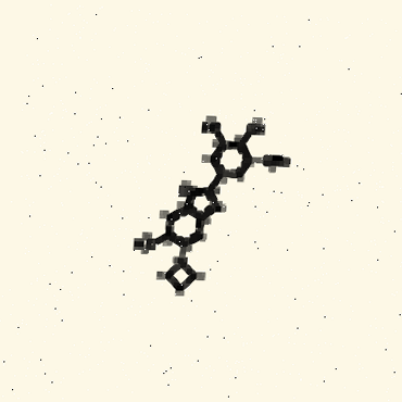 COc1cc(-c2nc3cc(N4CCC4)c(C)cc3[nH]2)cc(O)c1O